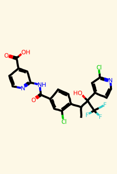 CC(c1ccc(C(=O)Nc2cc(C(=O)O)ccn2)cc1Cl)C(O)(c1ccnc(Cl)c1)C(F)(F)F